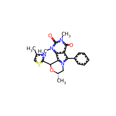 Cc1csc(C2O[C@@H](C)Cn3c(-c4ccccc4)c4c(=O)n(C)c(=O)n(C)c4c32)n1